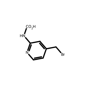 O=C(O)Nc1cc(CBr)ccn1